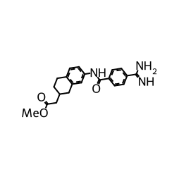 COC(=O)CC1CCc2ccc(NC(=O)c3ccc(C(=N)N)cc3)cc2C1